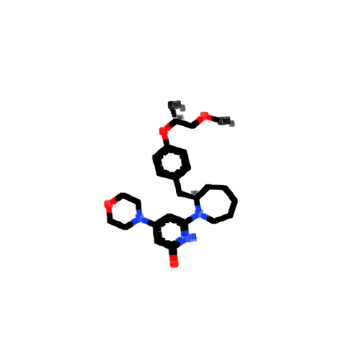 COC[C@@H](C)Oc1ccc(C[C@H]2CCCCCN2c2cc(N3CCOCC3)cc(=O)[nH]2)cc1